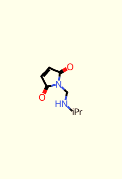 CC(C)NCN1C(=O)C=CC1=O